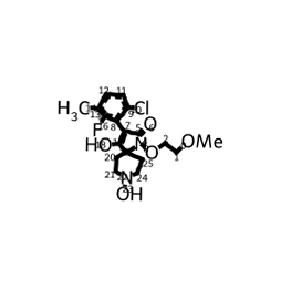 COCCON1C(=O)C(c2c(Cl)ccc(C)c2F)=C(O)C12CCN(O)CC2